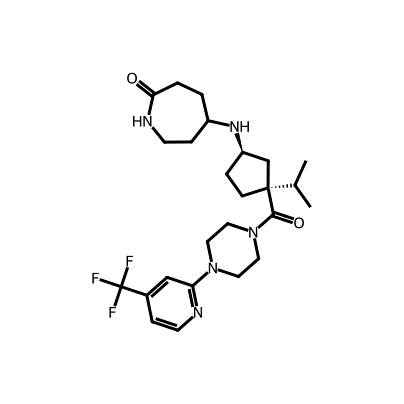 CC(C)[C@]1(C(=O)N2CCN(c3cc(C(F)(F)F)ccn3)CC2)CC[C@@H](NC2CCNC(=O)CC2)C1